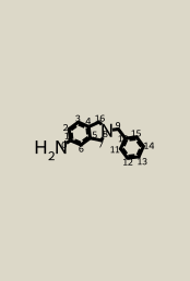 Nc1ccc2c(c1)CN(Cc1ccccc1)C2